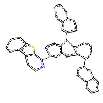 c1ccc2cc(-c3cccc4c(-c5ccc6ccccc6c5)c5ccc(-c6nccc7c6sc6ccccc67)cc5cc34)ccc2c1